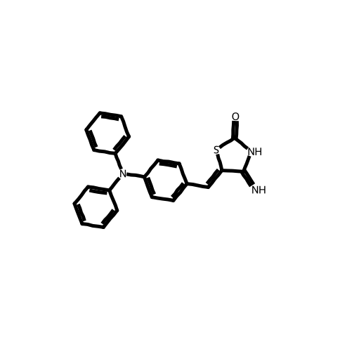 N=C1NC(=O)S/C1=C\c1ccc(N(c2ccccc2)c2ccccc2)cc1